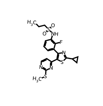 CCCS(=O)(=O)Nc1cccc(-c2nc(C3CC3)sc2-c2ccnc(SC)n2)c1F